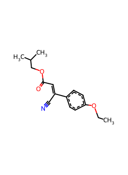 CCOc1ccc(C(C#N)=CC(=O)OCC(C)C)cc1